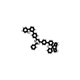 c1ccc(-c2nc(-c3ccc(-c4cccc5c4Sc4ccccc4C54c5ccccc5-c5ccccc54)cc3)cc(-c3ccc(-c4cccc5c4oc4ccccc45)cc3)n2)cc1